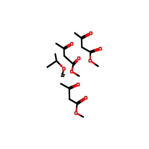 CC(C)[O][Zr].COC(=O)CC(C)=O.COC(=O)CC(C)=O.COC(=O)CC(C)=O